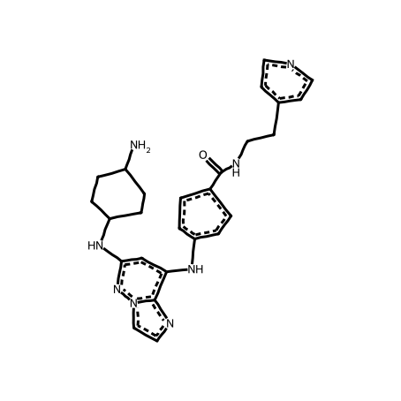 NC1CCC(Nc2cc(Nc3ccc(C(=O)NCCc4ccncc4)cc3)c3nccn3n2)CC1